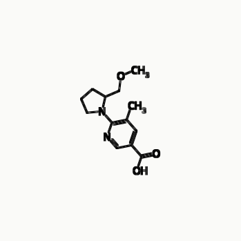 COCC1CCCN1c1ncc(C(=O)O)cc1C